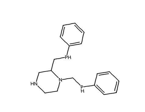 c1ccc(PCC2CNCCN2CPc2ccccc2)cc1